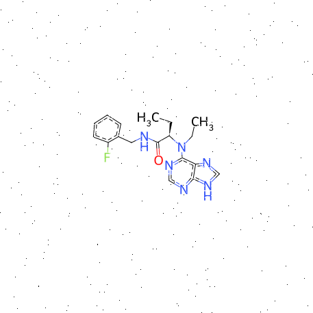 CC[C@H](C(=O)NCc1ccccc1F)N(CC)c1ncnc2[nH]cnc12